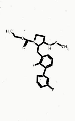 CCOC(=O)N1CCC(NSC)C1Cc1cccc(-c2cccc(F)c2)c1F